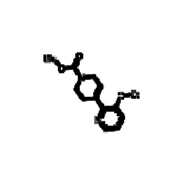 CCOc1cccnc1C1=CCN(C(=O)OC(C)(C)C)CC1